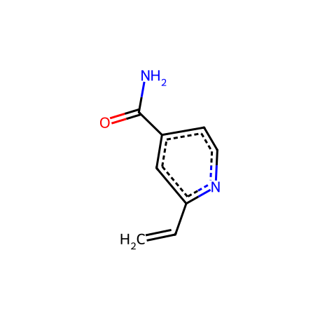 C=Cc1cc(C(N)=O)ccn1